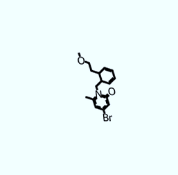 COCCC1C=CC=CC1Cn1c(C)cc(Br)cc1=O